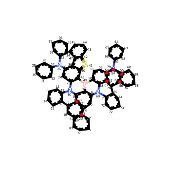 c1ccc(-c2cc3c4c(c2)N(c2ccccc2-c2ccccc2)c2cc(N(c5ccccc5)c5ccccc5)c5c(sc6ccccc65)c2B4c2ccc(N(c4ccccc4)c4ccccc4)cc2N3c2ccccc2-c2ccccc2)cc1